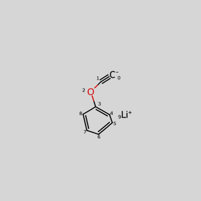 [C-]#COc1ccccc1.[Li+]